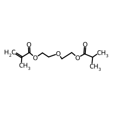 C=C(C)C(=O)OCCOCCOC(=O)C(C)C